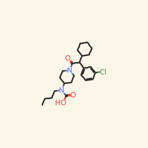 CCCCN(C(=O)O)C1CCN(C(=O)C(c2cccc(Cl)c2)C2CCCCC2)CC1